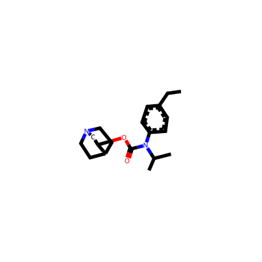 CCc1ccc(N(C(=O)OC2CN3CCC2CC3)C(C)C)cc1